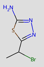 CC(Br)c1nnc(N)s1